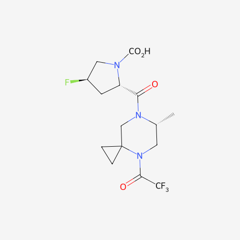 C[C@@H]1CN(C(=O)C(F)(F)F)C2(CC2)CN1C(=O)[C@@H]1C[C@@H](F)CN1C(=O)O